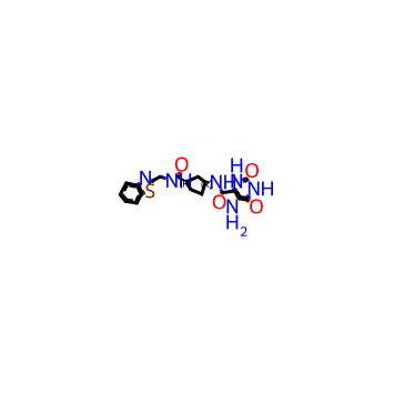 Nc1c(C(=O)N[C@@H]2CC[C@@H](C(=O)NCc3nc4ccccc4s3)C2)[nH]c(=O)[nH]c1=O